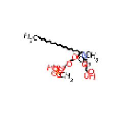 CCCCCCCCCCCCCCCCC(=CN(C)CCOCCC(=O)O)C(C)OCCOCCO.COS(=O)(=O)O